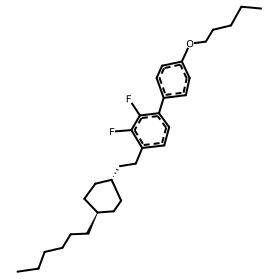 CCCCCC[C@H]1CC[C@H](CCc2ccc(-c3ccc(OCCCCC)cc3)c(F)c2F)CC1